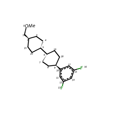 COC[C@H]1CC[C@H]([C@H]2CC[C@H](c3cc(F)cc(F)c3)CC2)CC1